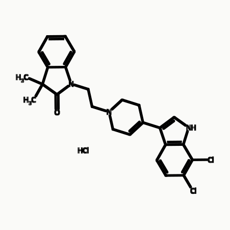 CC1(C)C(=O)N(CCN2CC=C(c3c[nH]c4c(Cl)c(Cl)ccc34)CC2)c2ccccc21.Cl